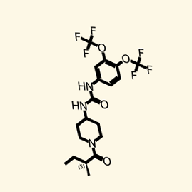 CC[C@H](C)C(=O)N1CCC(NC(=O)Nc2ccc(OC(F)(F)F)c(OC(F)(F)F)c2)CC1